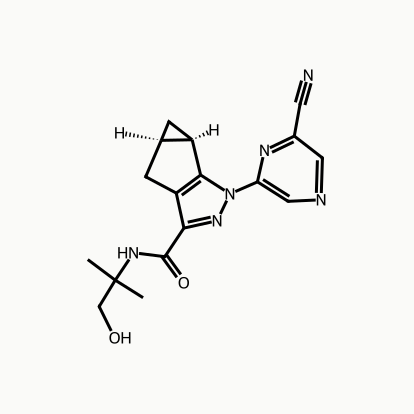 CC(C)(CO)NC(=O)c1nn(-c2cncc(C#N)n2)c2c1C[C@H]1C[C@@H]21